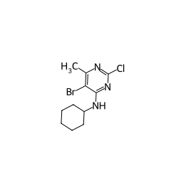 Cc1nc(Cl)nc(NC2CCCCC2)c1Br